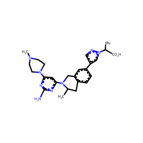 CC1Cc2ccc(-c3cnn(C(C(=O)O)C(C)(C)C)c3)cc2CN1c1cc(N2CCN(C)CC2)nc(N)n1